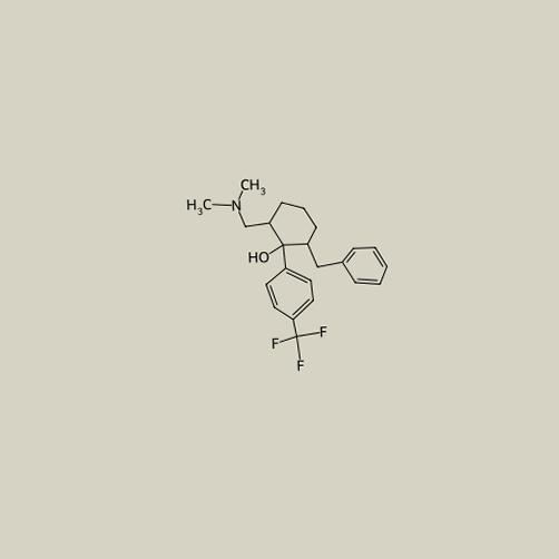 CN(C)CC1CCCC(Cc2ccccc2)C1(O)c1ccc(C(F)(F)F)cc1